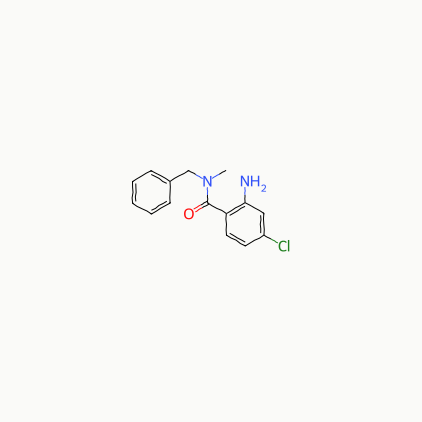 CN(Cc1ccccc1)C(=O)c1ccc(Cl)cc1N